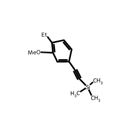 CCc1ccc(C#C[Si](C)(C)C)cc1OC